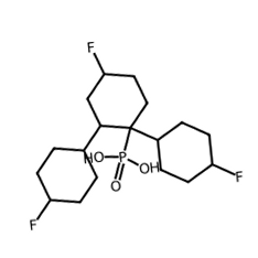 O=P(O)(O)C1(C2CCC(F)CC2)CCC(F)CC1C1CCC(F)CC1